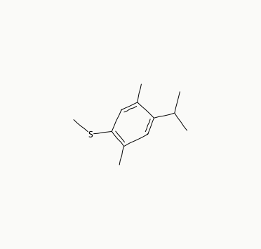 CSc1cc(C)c(C(C)C)cc1C